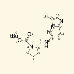 CC(C)(C)OC(=O)N1CCC[C@H]1CNc1ccc2ncc(I)n2n1